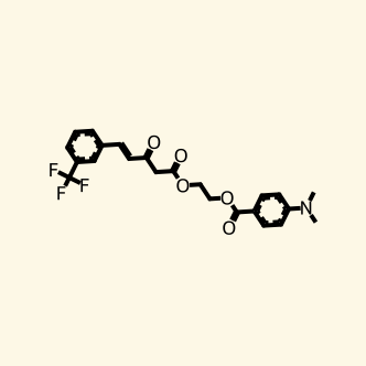 CN(C)c1ccc(C(=O)OCCOC(=O)CC(=O)C=Cc2cccc(C(F)(F)F)c2)cc1